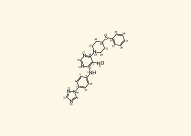 O=Nc1c(Nc2ccc(-n3cncn3)cc2)ncnc1N1CCC(Sc2ccccc2)CC1